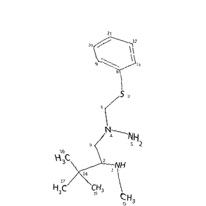 CNC(CN(N)CSc1ccccc1)C(C)(C)C